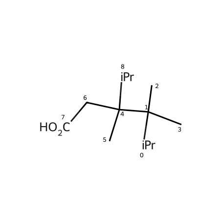 CC(C)C(C)(C)C(C)(CC(=O)O)C(C)C